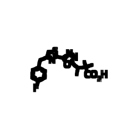 CC(c1nnc(-c2nc(Cc3ccc(F)cc3)cs2)o1)C(C)(C)C(=O)O